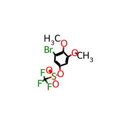 COc1cc(OS(=O)(=O)C(F)(F)F)cc(Br)c1OC